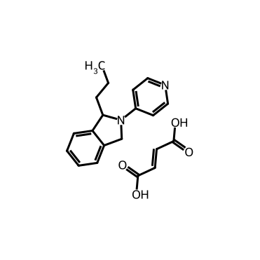 CCCC1c2ccccc2CN1c1ccncc1.O=C(O)C=CC(=O)O